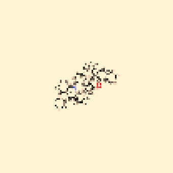 CC12c3ccccc3-c3cccc(c31)N(c1ccc3c(c1)C1(c4ccccc4Oc4c1ccc1ccccc41)c1ccccc1-3)c1ccccc12